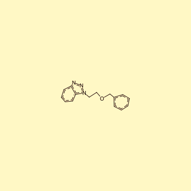 c1ccc(COCCn2nnc3ccccc32)cc1